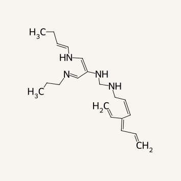 C=C/C=C(C=C)\C=C/CNCNC(/C=N/CCC)=C/N/C=C/CC